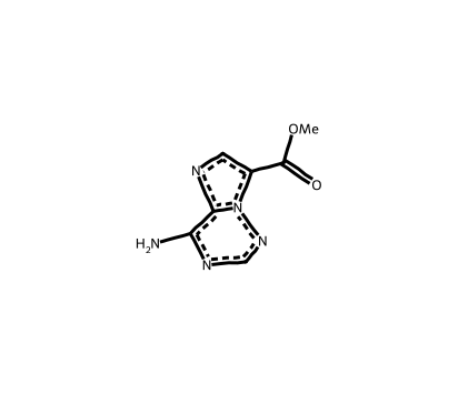 COC(=O)c1cnc2c(N)ncnn12